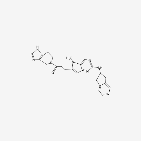 Cn1c(CCC(=O)N2CCc3[nH]nnc3C2)cc2nc(NC3Cc4ccccc4C3)ncc21